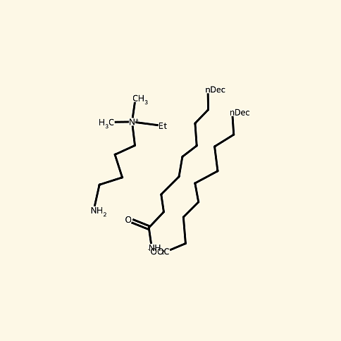 CCCCCCCCCCCCCCCCCC(=O)[O-].CCCCCCCCCCCCCCCCCC(N)=O.CC[N+](C)(C)CCCCN